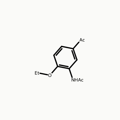 CCOc1ccc(C(C)=O)cc1NC(C)=O